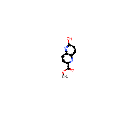 COC(=O)c1ccc2nc(O)ccc2n1